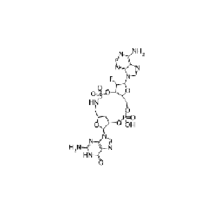 Nc1nc2c(ncn2C2OC3CNS(=O)(=O)OC4C(COP(=O)(O)OC2C3)OC(n2cnc3c(N)ncnc32)C4F)c(=O)[nH]1